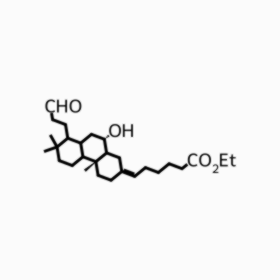 CCOC(=O)CCCC/C=C1/CC[C@]2(C)C3CCC(C)(C)C(CCC=O)C3C[C@H](O)C2C1